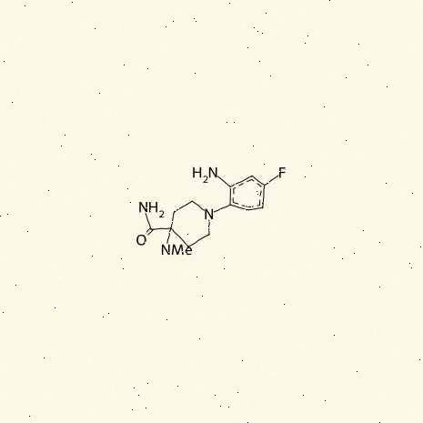 CNC1(C(N)=O)CCN(c2ccc(F)cc2N)CC1